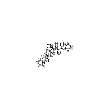 N#Cc1c(NC(=O)C=Cc2ccccc2Cl)sc2c1CCN(C(=O)Cc1ccccn1)C2